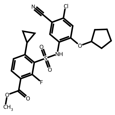 COC(=O)c1ccc(C2CC2)c(S(=O)(=O)Nc2cc(C#N)c(Cl)cc2OC2CCCC2)c1F